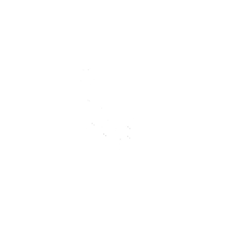 Cc1nn(C2CCCCC2)c(=O)c2nc(N3CCCC3C(=O)NCc3ccccc3)sc12